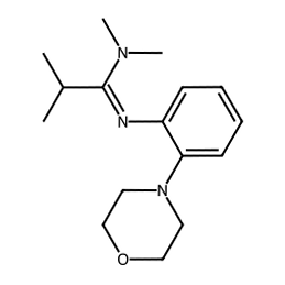 CC(C)/C(=N/c1ccccc1N1CCOCC1)N(C)C